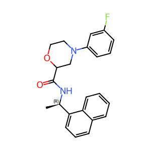 C[C@@H](NC(=O)C1CN(c2cccc(F)c2)CCO1)c1cccc2ccccc12